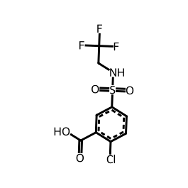 O=C(O)c1cc(S(=O)(=O)NCC(F)(F)F)ccc1Cl